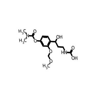 COCOc1cc(OC(=O)N(C)C)ccc1C(O)CCNC(=O)O